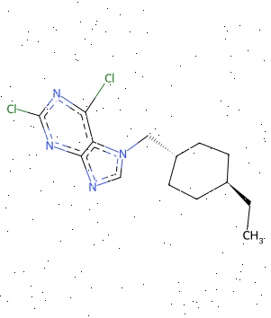 CC[C@H]1CC[C@H](Cn2cnc3nc(Cl)nc(Cl)c32)CC1